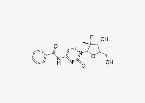 C[C@]1(F)C(n2ccc(NC(=O)c3ccccc3)nc2=O)OC(CO)[C@H]1O